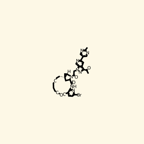 CC(=O)c1nn(CC(=O)N2[C@H]3C[C@@]4(CCCCCCCOCc5ccc(Br)nc5NC3=O)C[C@@H]24)c2cnc(-c3cnc(C)nc3)cc12